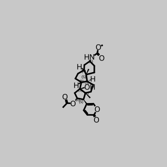 COC(=O)N[C@H]1CC[C@@]2(C)[C@H](CC[C@@H]3[C@@H]2CC[C@]2(C)[C@@H](c4ccc(=O)oc4)[C@@H](OC(C)=O)C[C@]32O)C1